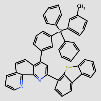 Cc1cccc([Si](c2ccccc2)(c2ccccc2)c2cccc(-c3cc(-c4cccc5c4sc4ccccc45)nc4c3ccc3cccnc34)c2)c1